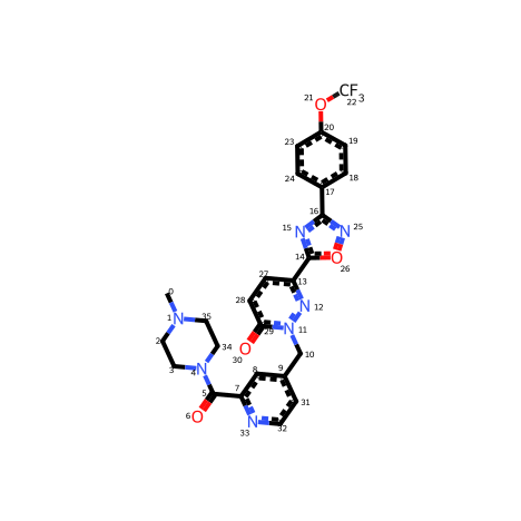 CN1CCN(C(=O)c2cc(Cn3nc(-c4nc(-c5ccc(OC(F)(F)F)cc5)no4)ccc3=O)ccn2)CC1